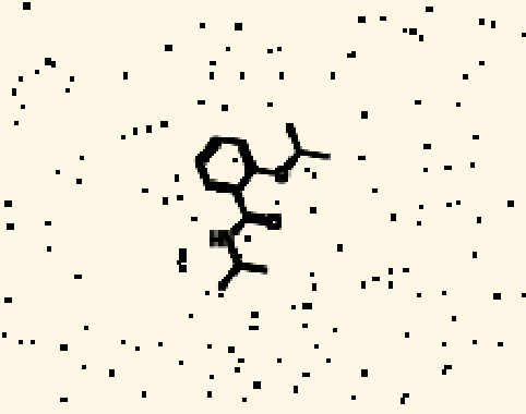 CC(C)NC(=O)c1ccccc1OC(C)C